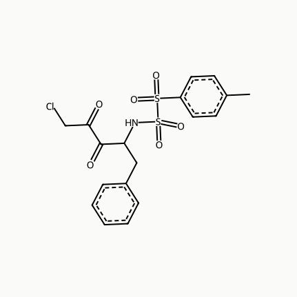 Cc1ccc(S(=O)(=O)S(=O)(=O)NC(Cc2ccccc2)C(=O)C(=O)CCl)cc1